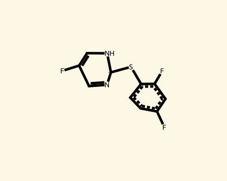 FC1=CN[C](Sc2ccc(F)cc2F)N=C1